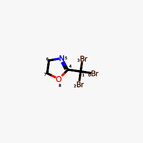 BrC(Br)(Br)C1=NCCO1